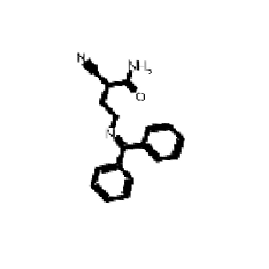 N#CC(CCN=C(c1ccccc1)c1ccccc1)C(N)=O